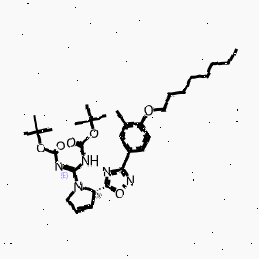 CCCCCCCCOc1ccc(-c2noc([C@@H]3C=CCN3/C(=N/C(=O)OC(C)(C)C)NC(=O)OC(C)(C)C)n2)cc1C